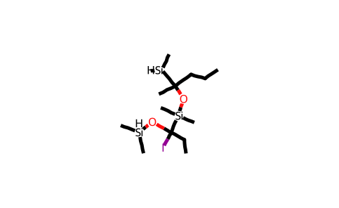 CCCC(C)(O[Si](C)(C)C(I)(CC)O[SiH](C)C)[SiH](C)C